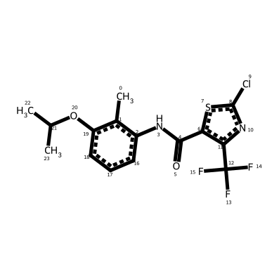 Cc1c(NC(=O)c2sc(Cl)nc2C(F)(F)F)cccc1OC(C)C